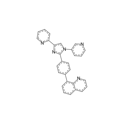 c1ccc(-c2cn(-c3cccnc3)c(-c3ccc(-c4cccc5cccnc45)cc3)n2)nc1